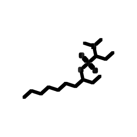 CCCCCCCC(CC)OS(=O)(=O)C(CC)N(C)C